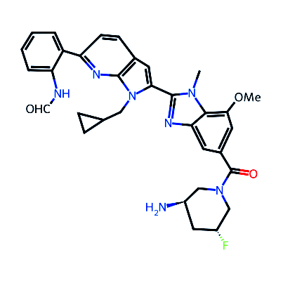 COc1cc(C(=O)N2C[C@H](N)C[C@@H](F)C2)cc2nc(-c3cc4ccc(-c5ccccc5NC=O)nc4n3CC3CC3)n(C)c12